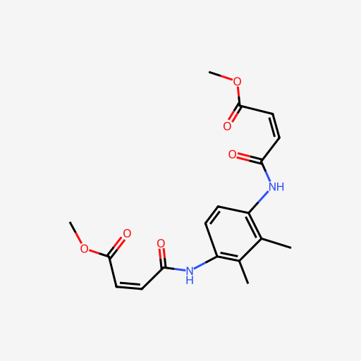 COC(=O)/C=C\C(=O)Nc1ccc(NC(=O)/C=C\C(=O)OC)c(C)c1C